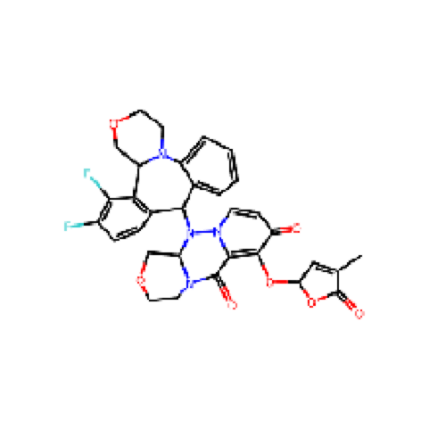 CC1=CC(Oc2c3n(ccc2=O)N(C2c4ccccc4N4CCOCC4c4c2ccc(F)c4F)C2COCCN2C3=O)OC1=O